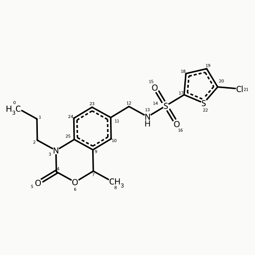 CCCN1C(=O)OC(C)c2cc(CNS(=O)(=O)c3ccc(Cl)s3)ccc21